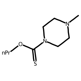 CCCOC(=S)N1CCN(C)CC1